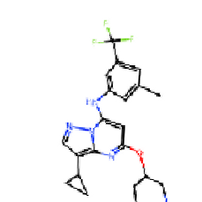 Cc1cc(Nc2cc(OC3CCCNC3)nc3c(C4CC4)cnn23)cc(C(F)(F)F)c1